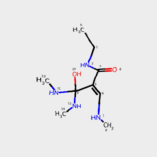 CCNC(=O)C(=CNC)C(O)(NC)NC